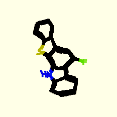 Fc1cc2c3ccccc3sc2c2[nH]c3ccccc3c12